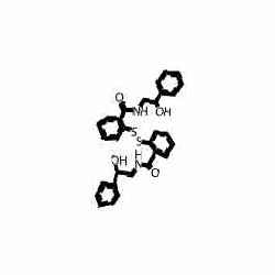 O=C(NCC(O)c1ccccc1)c1ccccc1SSc1ccccc1C(=O)NCC(O)c1ccccc1